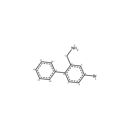 NCc1cc(Br)ccc1-c1ccccc1